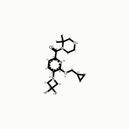 CC1(C)COCCN1C(=O)c1ccc(N2CC(F)(F)C2)c(OCC2CC2)n1